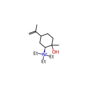 C=C(C)C1CCC(C)(O)[C@@H]([N+](CC)(CC)CC)C1